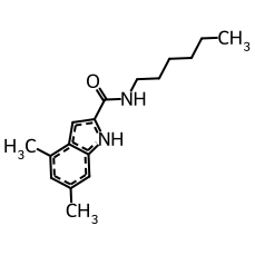 CCCCCCNC(=O)c1cc2c(C)cc(C)cc2[nH]1